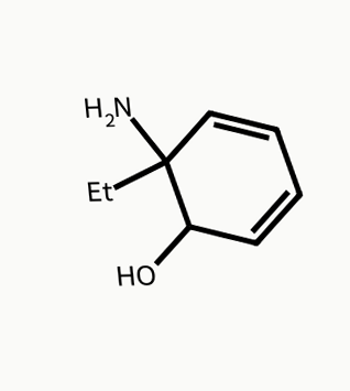 CCC1(N)C=CC=CC1O